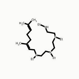 CCNCCN(CC)CCN(CC)CCN(CC)CC=C(C)CCC=C(C)C